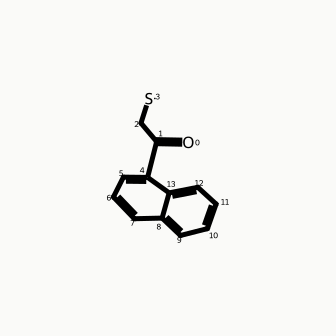 O=C(C[S])c1cccc2ccccc12